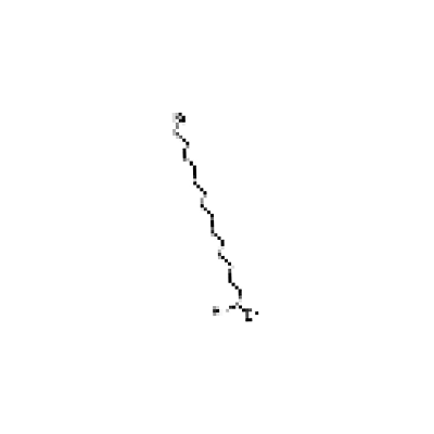 BrCCCCCCCCCCCCCCC(Br)Br